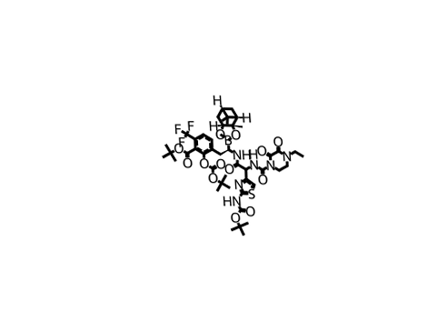 CCN1CCN(C(=O)NC(C(=O)N[C@@H](Cc2ccc(C(F)(F)F)c(C(=O)OC(C)(C)C)c2OC(=O)OC(C)(C)C)B2O[C@@H]3C[C@@H]4C[C@@H](C4(C)C)[C@]3(C)O2)c2csc(NC(=O)OC(C)(C)C)n2)C(=O)C1=O